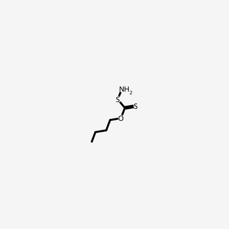 CCCCOC(=S)SN